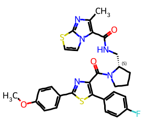 COc1ccc(-c2nc(C(=O)N3CCC[C@H]3CNC(=O)c3c(C)nc4sccn34)c(-c3ccc(F)cc3)s2)cc1